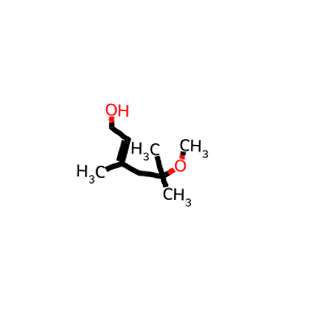 COC(C)(C)CC(C)=CCO